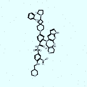 Cc1ccccc1[C@@H]1CCCN1C1CC2(CCN(c3ccc(C(=O)NS(=O)(=O)c4ccc(NCC5CCOCC5)c([N+](=O)[O-])c4)c(N4C[C@@H]5COCC[C@@H]5Oc5nc6[nH]ccc6cc54)c3)CC2)C1